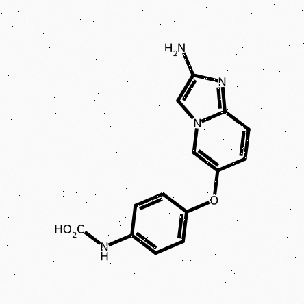 Nc1cn2cc(Oc3ccc(NC(=O)O)cc3)ccc2n1